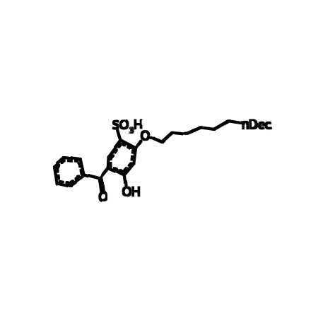 CCCCCCCCCCCCCCCCOc1cc(O)c(C(=O)c2ccccc2)cc1S(=O)(=O)O